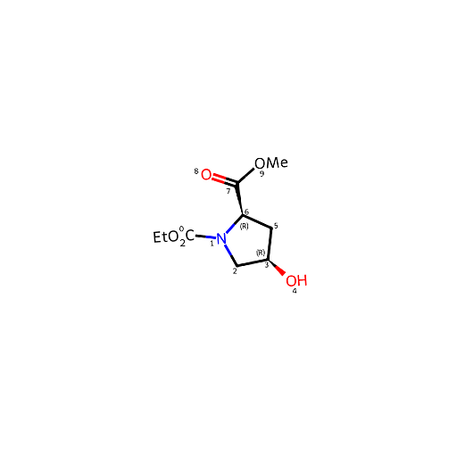 CCOC(=O)N1C[C@H](O)C[C@@H]1C(=O)OC